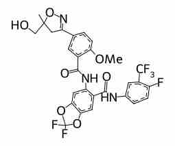 COc1ccc(C2=NOC(C)(CO)C2)cc1C(=O)Nc1cc2c(cc1C(=O)Nc1ccc(F)c(C(F)(F)F)c1)OC(F)(F)O2